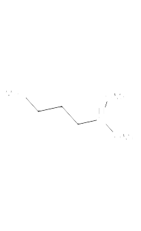 CO[SiH](CCCSC)OC